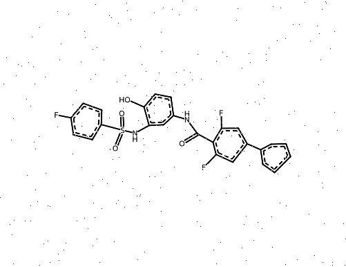 O=C(Nc1ccc(O)c(NS(=O)(=O)c2ccc(F)cc2)c1)c1c(F)cc(-c2ccccc2)cc1F